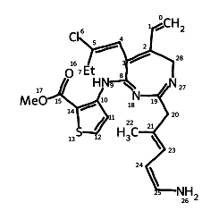 C=CC1=C(/C=C(/Cl)CC)C(Nc2ccsc2C(=O)OC)=NC(C/C(C)=C/C=C\N)=NC1